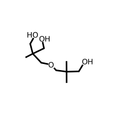 CC(C)(CO)COCC(C)(CO)CO